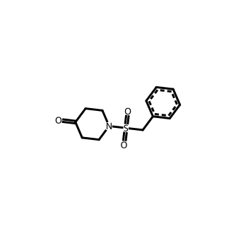 O=C1CCN(S(=O)(=O)Cc2ccccc2)CC1